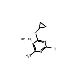 Cl.Nc1nc(N)nc(NC2CC2)n1.O